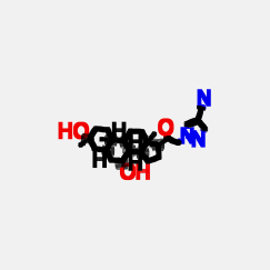 C[C@@]1(O)CC[C@@]2(C)[C@@H](C[C@@H](O)[C@@H]3[C@@H]2CC[C@]2(C)[C@@H](C(=O)Cn4cc(C#N)cn4)CC[C@@H]32)C1